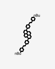 CCCCc1ccc(C=Cc2ccc(-c3ccc4ccc5c(-c6ccc(C=Cc7ccc(CCCC)cc7)cc6)ccc6ccc3c4c65)cc2)cc1